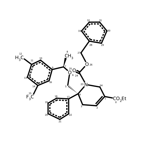 CCOC(=O)C1=CC[C@@](CO[C@H](C)c2cc(C)cc(C(F)(F)F)c2)(c2ccccc2)N(C(=O)OCc2ccccc2)C1